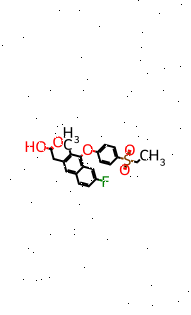 CCS(=O)(=O)c1ccc(Oc2c(C)c(CC(=O)O)cc3ccc(F)cc23)cc1